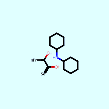 C1CCC(NC2CCCCC2)CC1.CCCC(O)C(O)=[Se]